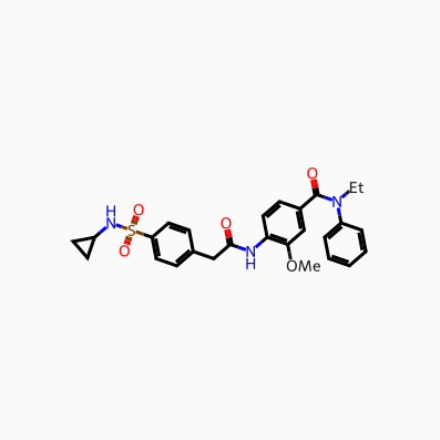 CCN(C(=O)c1ccc(NC(=O)Cc2ccc(S(=O)(=O)NC3CC3)cc2)c(OC)c1)c1ccccc1